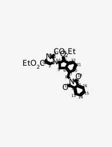 CCOC(=O)c1cn(C2Cc3c(CN4C(=O)c5ccccc5C4=O)cccc3C2=O)c(C(=O)OCC)n1